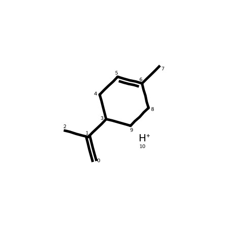 C=C(C)C1CC=C(C)CC1.[H+]